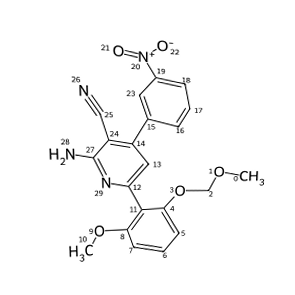 COCOc1cccc(OC)c1-c1cc(-c2cccc([N+](=O)[O-])c2)c(C#N)c(N)n1